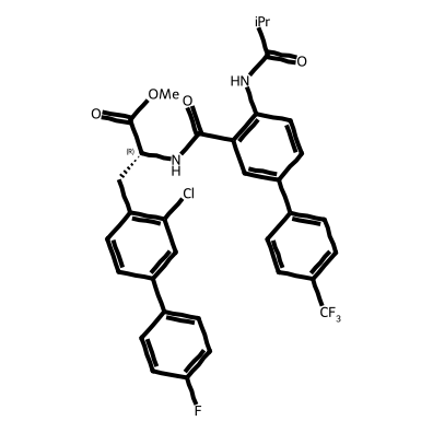 COC(=O)[C@@H](Cc1ccc(-c2ccc(F)cc2)cc1Cl)NC(=O)c1cc(-c2ccc(C(F)(F)F)cc2)ccc1NC(=O)C(C)C